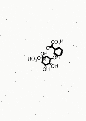 O=C(O)C(=O)c1ccccc1.O=C(O)[C@@]1(O)CC(O)[C@H](O)[C@H](O)C1